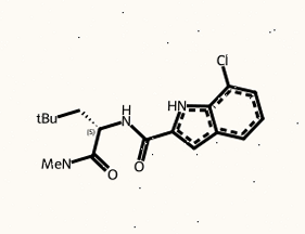 CNC(=O)[C@H](CC(C)(C)C)NC(=O)c1cc2cccc(Cl)c2[nH]1